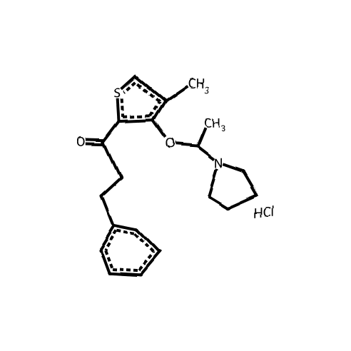 Cc1csc(C(=O)CCc2ccccc2)c1OC(C)N1CCCC1.Cl